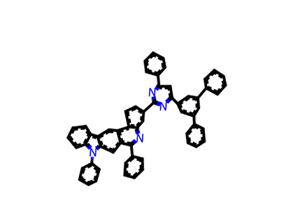 c1ccc(-c2cc(-c3ccccc3)cc(-c3cc(-c4ccccc4)nc(-c4ccc5c(c4)nc(-c4ccccc4)c4cc6c(cc45)c4ccccc4n6-c4ccccc4)n3)c2)cc1